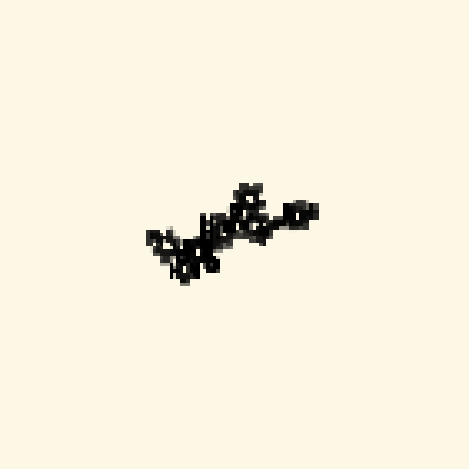 Nc1c(Oc2ccc(F)cc2)ncn(CC2(O)CCN(C(=O)[C@@H]3CC[C@](F)(C#Cc4ccc(F)cn4)C[C@H]3c3ccccc3)CC2)c1=O